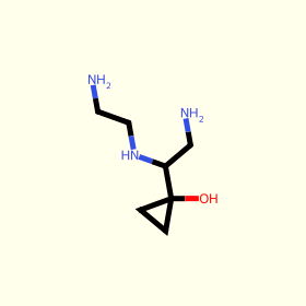 NCCNC(CN)C1(O)CC1